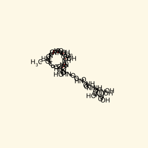 CCCCCC(=O)N[C@H]1CSCc2cccc(c2)CSC[C@@H](C(=O)N[C@@H](CC(=O)O)C(=O)NCCCNCCOCCOCCCNC(=O)CCC(=O)N[C@@H](CCCCNC(=O)CN2CCN(CC(=O)O)CCN(CC(=O)O)CCN(CC(O)O)CC2)C(N)=O)NC(=O)[C@H](Cc2ccccc2)NC(=O)[C@H](CCC(=O)O)NC(=O)[C@H]([C@@H](C)O)NC(=O)[C@@H]2CCCN2C(=O)[C@@H]2CCCN2C1=O